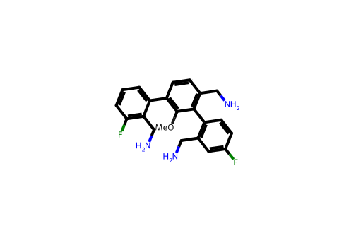 COc1c(-c2cccc(F)c2CN)c[c]c(CN)c1-c1ccc(F)cc1CN